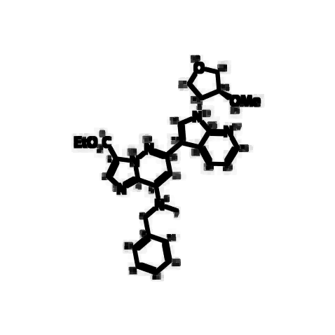 CCOC(=O)c1cnc2c(N(C)Cc3ccccc3)cc(-c3cn([C@@H]4COC[C@H]4OC)c4ncccc34)nn12